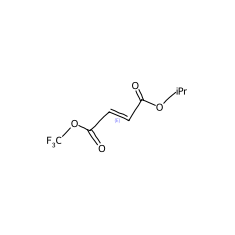 CC(C)OC(=O)/C=C/C(=O)OC(F)(F)F